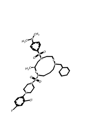 C[C@H]1CN(S(=O)(=O)c2ccc(N(C)C)cc2)CCCN(CC2CCCCC2)CCCN(S(=O)(=O)N2CCN(c3ccc(F)cc3Cl)CC2)C1